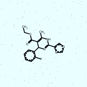 CCOC(=O)C1=C(C)NC(c2cscn2)=NC1c1ccccc1F